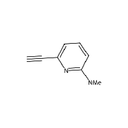 C#Cc1cccc(NC)n1